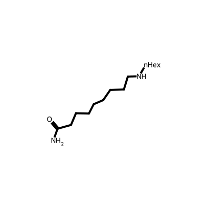 CCCCCCNCCCCCCCCC(N)=O